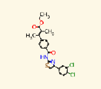 CCOC(=O)/C(C)=C(\C)c1ccc(C(=O)Nc2nc(-c3ccc(Cl)c(Cl)c3)cs2)cc1